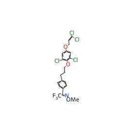 CON=C(c1ccc(CCCOc2c(Cl)cc(OCC=C(Cl)Cl)cc2Cl)cc1)C(F)(F)F